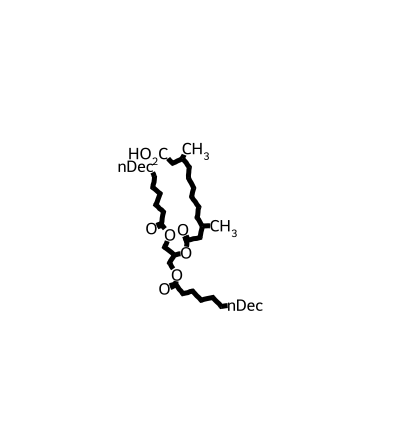 CCCCCCCCCCCCCCCC(=O)OCC(COC(=O)CCCCCCCCCCCCCCC)OC(=O)CC(C)CCCCCCC(C)CC(=O)O